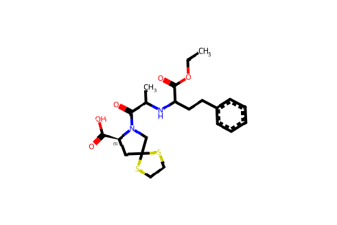 CCOC(=O)C(CCc1ccccc1)NC(C)C(=O)N1CC2(C[C@H]1C(=O)O)SCCS2